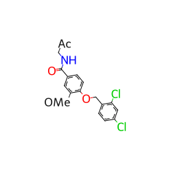 COc1cc(C(=O)NCC(C)=O)ccc1OCc1ccc(Cl)cc1Cl